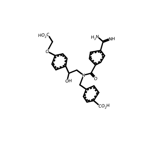 N=C(N)c1ccc(C(=O)N(Cc2ccc(C(=O)O)cc2)CC(O)c2ccc(OCC(=O)O)cc2)cc1